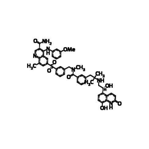 COc1cccc(Nc2c(C(N)=O)cnc3c(C)cc(S(=O)(=O)c4cccc(CN(C)C(=O)c5cccc(CC(C)(C)NC[C@H](O)c6ccc(O)c7[nH]c(=O)ccc67)c5)c4)cc23)c1